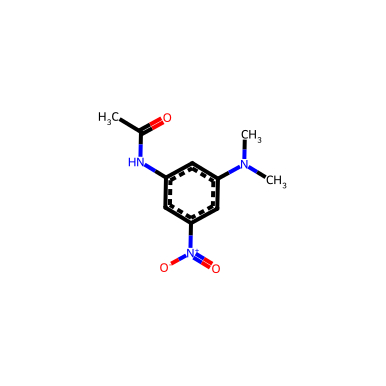 CC(=O)Nc1cc(N(C)C)cc([N+](=O)[O-])c1